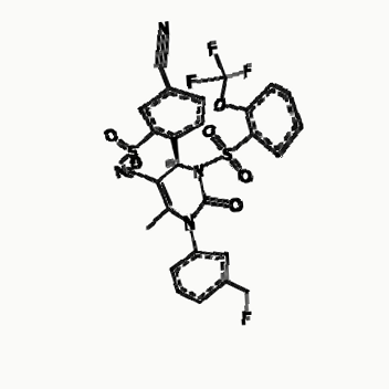 CC1=C(C#N)[C@@H](c2ccc(C#N)cc2S(C)(=O)=O)N(S(=O)(=O)c2ccccc2OC(F)(F)F)C(=O)N1c1cccc(CF)c1